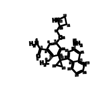 Cc1c(C(N)=O)cc(OCC2CCN2)cc1C1(c2cc(N)cc3ncccc23)CC1